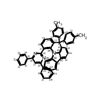 Cc1ccc(C2(c3ccc(C)cc3)c3cccc(-c4nc(-c5ccccc5)cc(-c5ccccc5)n4)c3-n3c4ccccc4c4cccc2c43)cc1